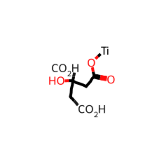 O=C(O)CC(O)(CC(=O)[O][Ti])C(=O)O